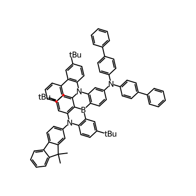 CC(C)(C)c1ccc2c(c1)B1c3ccc(N(c4ccc(-c5ccccc5)cc4)c4ccc(-c5ccccc5)cc4)cc3N(c3ccc(C(C)(C)C)cc3-c3ccccc3)c3cc(C(C)(C)C)cc(c31)N2c1ccc2c(c1)C(C)(C)c1ccccc1-2